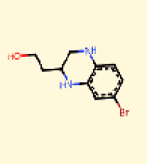 OCCC1CNc2ccc(Br)cc2N1